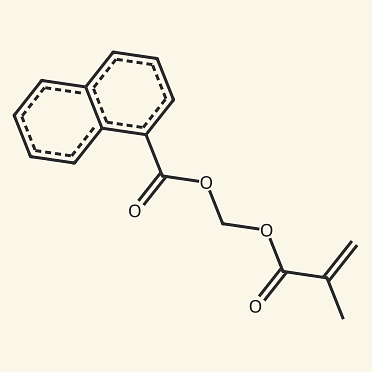 C=C(C)C(=O)OCOC(=O)c1cccc2ccccc12